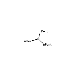 CCCCCCN(CCCCC)CCCCC